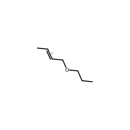 C/C=C/CO[CH]CC